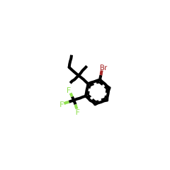 CCC(C)(C)c1c(Br)cccc1C(F)(F)F